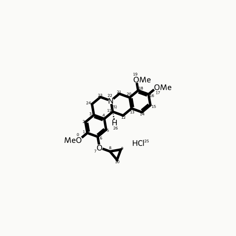 COc1cc2c(cc1OC1CC1)[C@@H]1Cc3ccc(OC)c(OC)c3CN1CC2.Cl